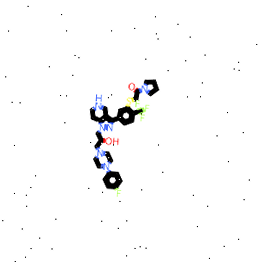 O=C(CSc1cc(-c2nn(CC(O)CN3CCN(c4ccc(F)cc4)CC3)c3c2CNCC3)ccc1C(F)(F)F)N1CCCC1